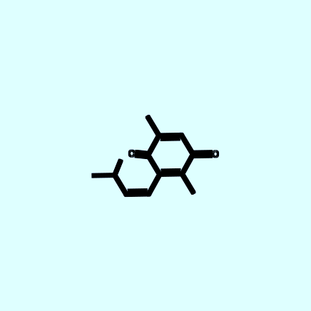 CC1=CC(=O)C(C)=C(/C=C\C(C)C)C1=O